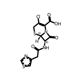 O=C(Cc1cscn1)N[C@@H]1C(=O)N2C(C(=O)O)=C(Cl)CS[C@@H]12